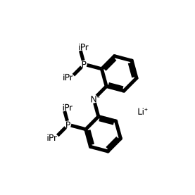 CC(C)P(c1ccccc1[N-]c1ccccc1P(C(C)C)C(C)C)C(C)C.[Li+]